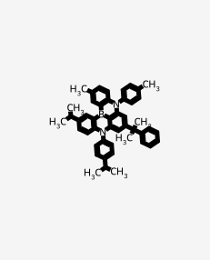 Cc1ccc(N2c3ccc(C)cc3B3c4cc(C(C)C)ccc4N(c4ccc(C(C)C)cc4)c4cc(C(C)(C)c5ccccc5)cc2c43)cc1